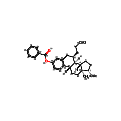 CC(=O)O[C@H]1CC[C@H]2[C@@H]3[C@H](CCC=O)Cc4cc(OC(=O)c5ccccc5)ccc4[C@H]3CC[C@]12C